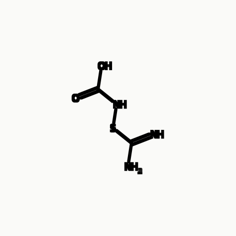 N=C(N)SNC(=O)O